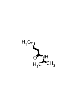 COCCC(=O)NC(C)C